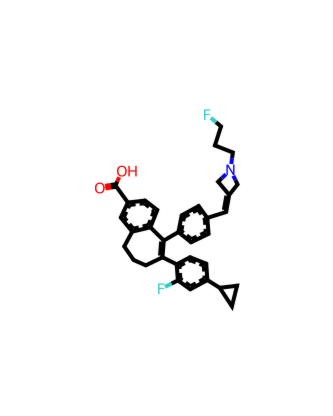 O=C(O)c1ccc2c(c1)CCCC(c1ccc(C3CC3)cc1F)=C2c1ccc(C=C2CN(CCCF)C2)cc1